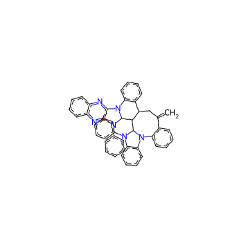 C=C1CC2c3ccccc3N3c4nc5ccccc5nc4N(c4ccccc4)C3C2C2N(c3ccccc3)c3ccccc3N2c2ccccc21